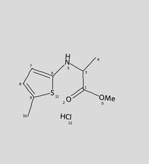 COC(=O)C(C)Nc1ccc(C)s1.Cl